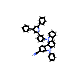 N#Cc1ccc2c3c(ccc4c5ccccc5n(-c5cccc(-c6cc(-c7ccccc7)cc(-c7ccccc7)n6)c5)c43)n(-c3ccccc3)c2c1